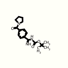 CC(C)(C)OC(=O)NC(=N)c1ccc(C(=O)N2CCCC2)cc1